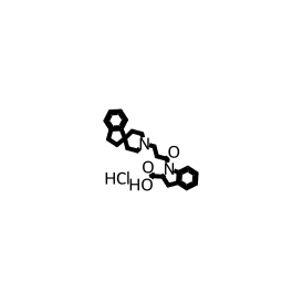 Cl.O=C(O)C1Cc2ccccc2N1C(=O)CCN1CCC2(CCc3ccccc32)CC1